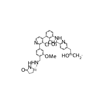 [CH2][C@H](O)Cc1ccc(C(=O)Nc2cccc(-c3ccnc(-c4ccc(CNC[C@@H]5CCC(=O)N5)c(OC)c4)c3Cl)c2C)nc1